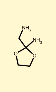 NCC1(N)OCCO1